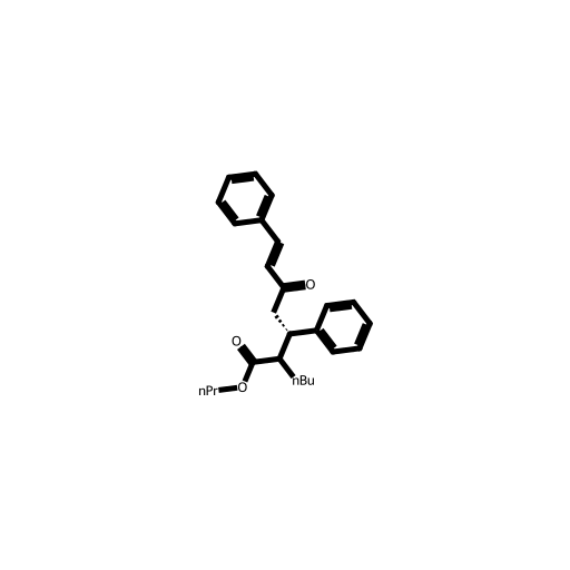 CCCCC(C(=O)OCCC)[C@H](CC(=O)/C=C/c1ccccc1)c1ccccc1